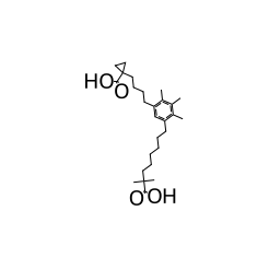 Cc1c(CCCCCCC(C)(C)C(=O)O)cc(CCCCC2(C(=O)O)CC2)c(C)c1C